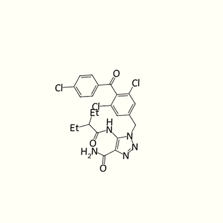 CCC(CC)C(=O)Nc1c(C(N)=O)nnn1Cc1cc(Cl)c(C(=O)c2ccc(Cl)cc2)c(Cl)c1